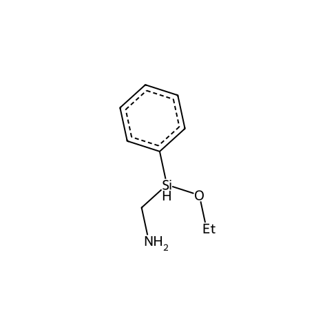 CCO[SiH](CN)c1ccccc1